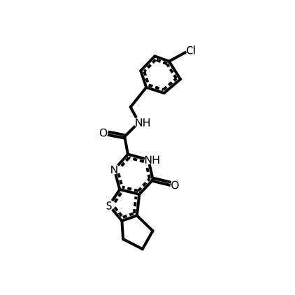 O=C(NCc1ccc(Cl)cc1)c1nc2sc3c(c2c(=O)[nH]1)CCC3